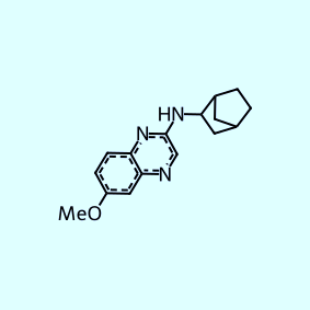 COc1ccc2nc(NC3CC4CCC3C4)cnc2c1